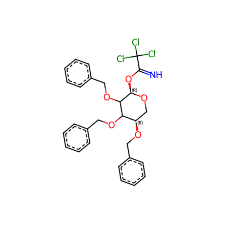 N=C(O[C@H]1OC[C@@H](OCc2ccccc2)C(OCc2ccccc2)C1OCc1ccccc1)C(Cl)(Cl)Cl